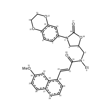 CCN(CC1CN(c2ccc3c(c2)OCCO3)C(=O)O1)C(=O)C=Cc1ccnc2ccc(OC)nc12